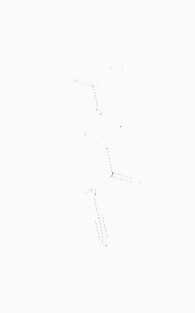 CC(C)N1CC(C(=O)NC#N)C1